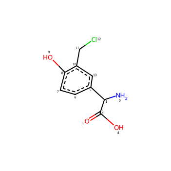 NC(C(=O)O)c1ccc(O)c(CCl)c1